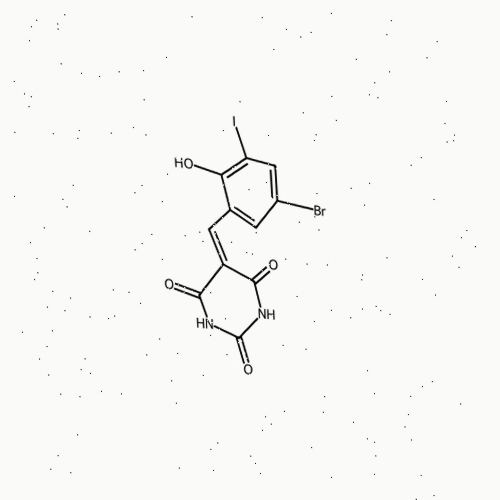 O=C1NC(=O)C(=Cc2cc(Br)cc(I)c2O)C(=O)N1